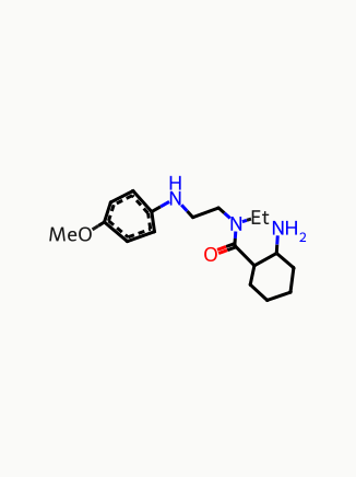 CCN(CCNc1ccc(OC)cc1)C(=O)C1CCCCC1N